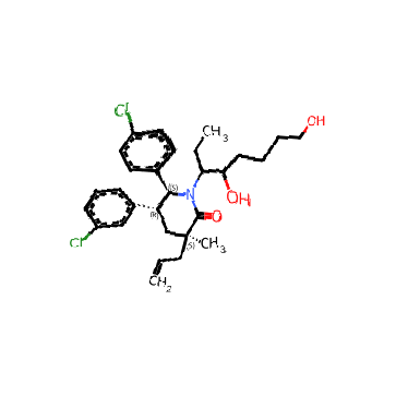 C=CC[C@@]1(C)C[C@H](c2cccc(Cl)c2)[C@@H](c2ccc(Cl)cc2)N(C(CC)C(O)CCCCO)C1=O